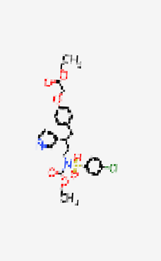 CCOC(=O)COc1ccc(CC(CCN(C(=O)OCC)S(=O)(=O)c2ccc(Cl)cc2)c2cccnc2)cc1